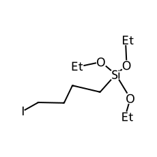 CCO[Si](CCCCI)(OCC)OCC